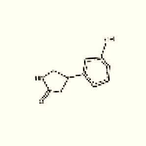 O=C1[CH]C(c2cccc(O)c2)CN1